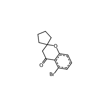 O=C1CC2(CCCC2)Oc2cccc(Br)c21